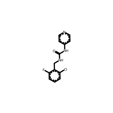 O=C(NCc1c(F)cccc1Cl)Nc1ccncc1